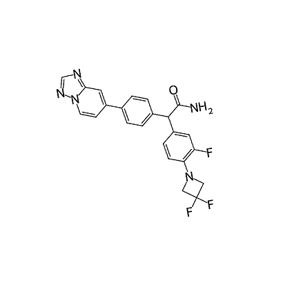 NC(=O)C(c1ccc(-c2ccn3ncnc3c2)cc1)c1ccc(N2CC(F)(F)C2)c(F)c1